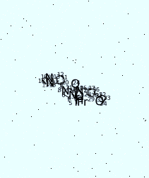 CC(C)C(=O)N1C(C)CN(Cc2ccccc2Cn2cccn2)CC1C(=O)NCc1ccc(-c2ccco2)cc1